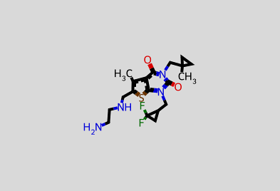 Cc1c(CNCCN)sc2c1c(=O)n(CC1(C)CC1)c(=O)n2CC1CC1(F)F